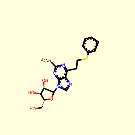 CC(=O)Nc1nc(CCSc2ccccc2)c2ncn(C3O[C@H](CO)[C@@H](O)[C@H]3O)c2n1